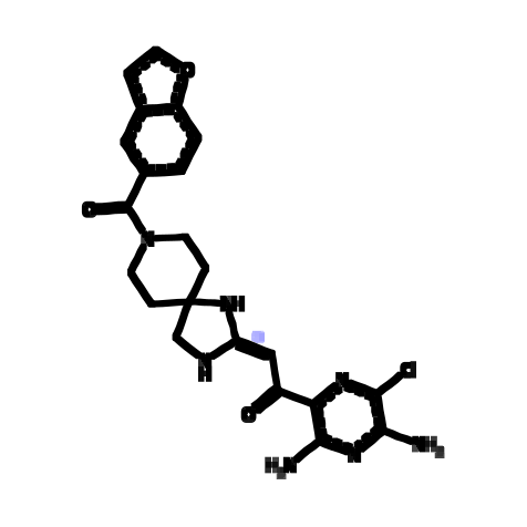 Nc1nc(N)c(C(=O)/C=C2\NCC3(CCN(C(=O)c4ccc5occc5c4)CC3)N2)nc1Cl